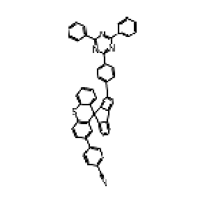 N#Cc1ccc(-c2ccc3c(c2)C2(c4ccccc4S3)c3ccccc3-c3ccc(-c4ccc(-c5nc(-c6ccccc6)nc(-c6ccccc6)n5)cc4)cc32)cc1